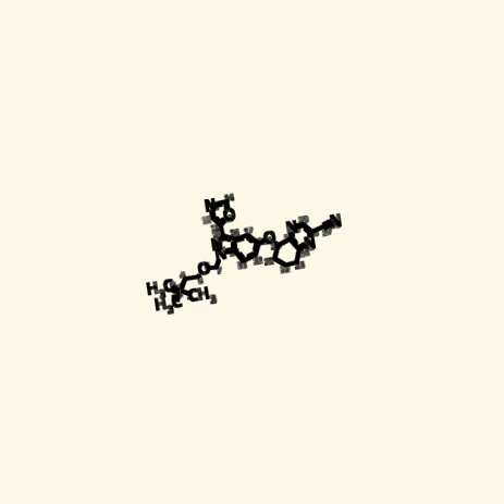 C[Si](C)(C)CCOCn1nc(-c2cnco2)c2cc(OC3CCCc4nc(C#N)cnc43)ccc21